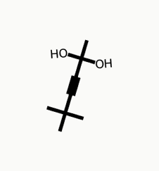 CC(C)(C)C#CC(C)(O)O